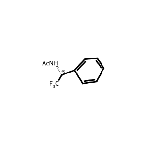 CC(=O)N[C@H](c1ccccc1)C(F)(F)F